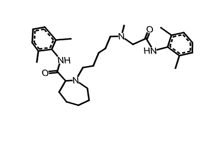 Cc1cccc(C)c1NC(=O)CN(C)CCCCCN1CCCCCC1C(=O)Nc1c(C)cccc1C